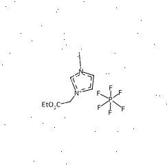 CCOC(=O)C[n+]1ccn(C)c1.F[P-](F)(F)(F)(F)F